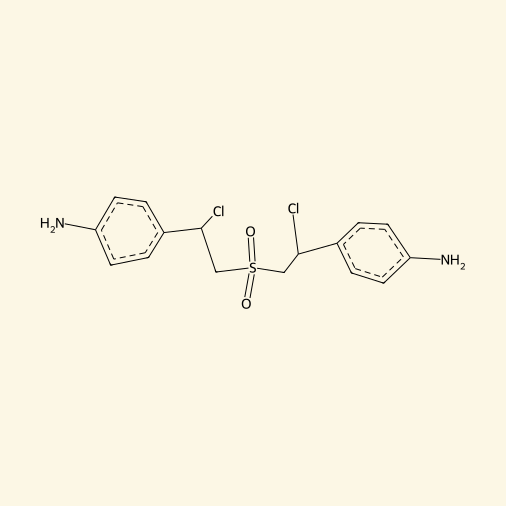 Nc1ccc(C(Cl)CS(=O)(=O)CC(Cl)c2ccc(N)cc2)cc1